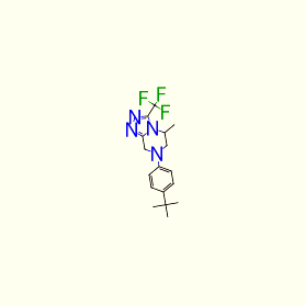 CC1CN(c2ccc(C(C)(C)C)cc2)Cc2nnc(C(F)(F)F)n21